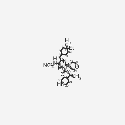 CCC1(C)CCC(CC(N=C(NC(=O)OC(C)C2CCNCC2)N2CCOCC2)C(=O)NCC#N)CC1